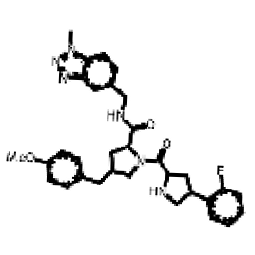 COc1ccc(CC2CC(C(=O)NCc3ccc4c(c3)nnn4C)N(C(=O)C3CC(c4ccccc4F)CN3)C2)cc1